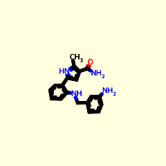 Cc1[nH]c(-c2ccccc2NCc2cccc(N)c2)cc1C(N)=O